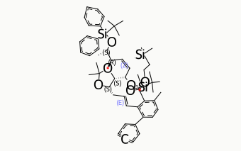 Cc1ccc(-c2ccccc2)c(/C=C/C[C@@H]2OC(C)(C)O[C@@H]2C(/C=C\[C@@H](C)[C@H](C)O[Si](c2ccccc2)(c2ccccc2)C(C)(C)C)O[Si](C)(C)C(C)(C)C)c1C(=O)OCC[Si](C)(C)C